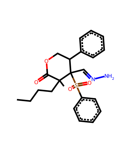 CCCCC1(C)C(=O)OCC(c2ccccc2)C1(C=NN)S(=O)(=O)c1ccccc1